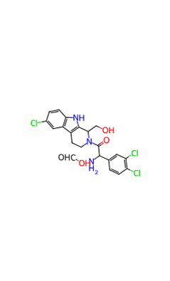 NC(C(=O)N1CCc2c([nH]c3ccc(Cl)cc23)C1CO)c1ccc(Cl)c(Cl)c1.O=CO